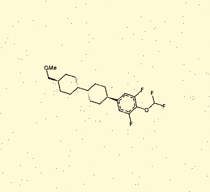 COC[C@H]1CC[C@H]([C@H]2CC[C@H](c3cc(F)c(OC(F)F)c(F)c3)CC2)CC1